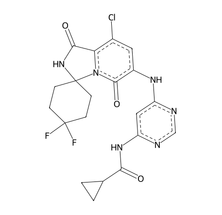 O=C1NC2(CCC(F)(F)CC2)n2c1c(Cl)cc(Nc1cc(NC(=O)C3CC3)ncn1)c2=O